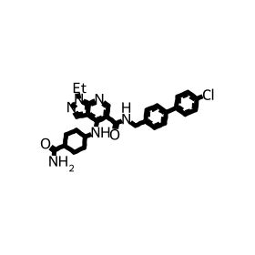 CCn1ncc2c(NC3CCC(C(N)=O)CC3)c(C(=O)NCc3ccc(-c4ccc(Cl)cc4)cc3)cnc21